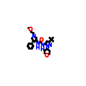 COCCN1C[C@@H](NC(=O)Nc2cc(C(C)(C)C)nn2C2CCOCC2)[C@H](c2ccccc2)C1